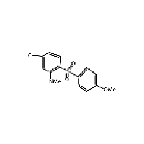 CNc1cc(Cl)ccc1S(=O)(=O)c1ccc(OC)cc1